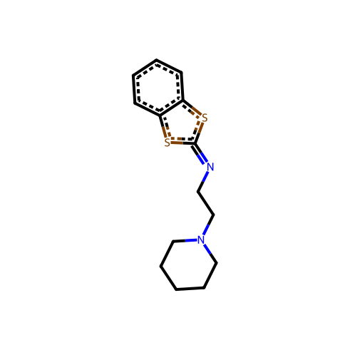 c1ccc2sc(=NCCN3CCCCC3)sc2c1